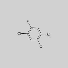 [O]c1cc(Cl)c(F)cc1Cl